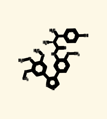 COc1ccc(-c2cnsc2-c2cc(OC)c(OC)c(OC)c2)cc1NC(=O)[C@H](N)C(C)c1ccc(O)cc1